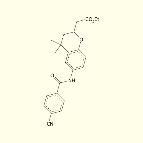 CCOC(=O)CC1CC(C)(C)c2cc(NC(=O)c3ccc(C#N)cc3)ccc2O1